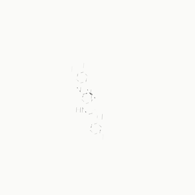 O=C(Cc1ccc(F)cc1Cl)Nc1cnnc(Nc2ccc(F)c(F)c2)c1